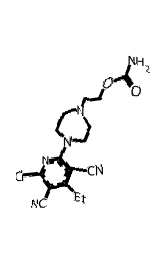 CCc1c(C#N)c(Cl)nc(N2CCN(CCOC(N)=O)CC2)c1C#N